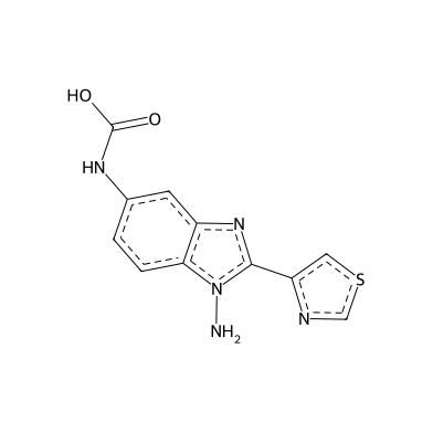 Nn1c(-c2cscn2)nc2cc(NC(=O)O)ccc21